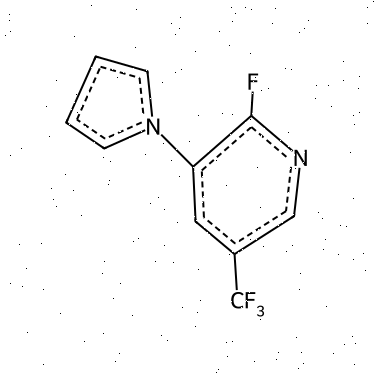 Fc1ncc(C(F)(F)F)cc1-n1cccc1